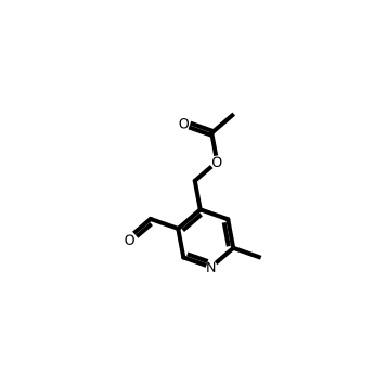 CC(=O)OCc1cc(C)ncc1C=O